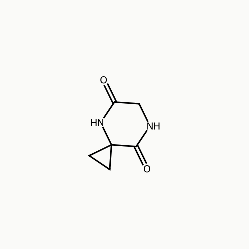 O=C1CNC(=O)C2(CC2)N1